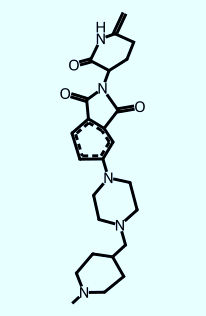 C=C1CCC(N2C(=O)c3ccc(N4CCN(CC5CCN(C)CC5)CC4)cc3C2=O)C(=O)N1